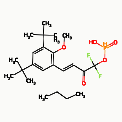 CCCC.COc1c(/C=C/C(=O)C(F)(F)O[PH](=O)O)cc(C(C)(C)C)cc1C(C)(C)C